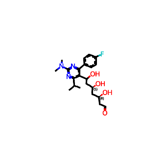 CC(C)c1nc(N(C)C)nc(-c2ccc(F)cc2)c1C(O)C[C@@H](O)C[C@@H](O)CC=O